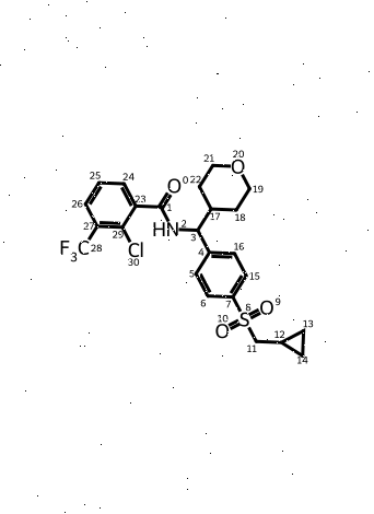 O=C(NC(c1ccc(S(=O)(=O)CC2CC2)cc1)C1CCOCC1)c1cccc(C(F)(F)F)c1Cl